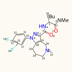 CNC(=O)C(NC(=O)c1nn(-c2ccc(F)c(F)c2)c2c1CN(C)CCC2)C(C)(C)C